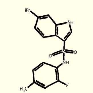 Cc1ccc(NS(=O)(=O)c2c[nH]c3cc(C(C)C)ccc23)c(F)c1